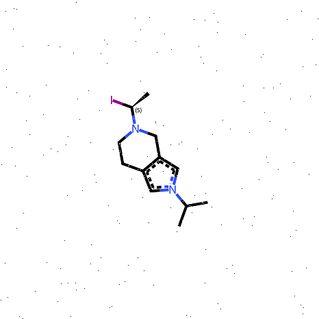 CC(C)n1cc2c(c1)CN([C@H](C)I)CC2